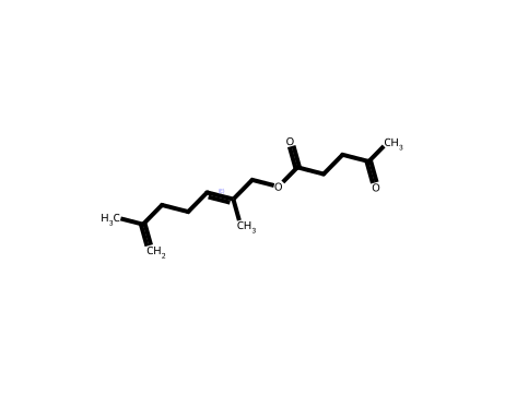 C=C(C)CC/C=C(\C)COC(=O)CCC(C)=O